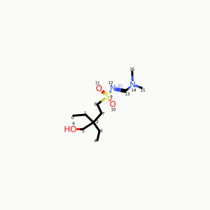 CCC(CC)(CO)CCS(=O)(=O)/N=C/N(C)C